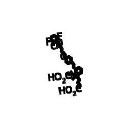 Cc1c(CCCC(=O)O)c2cccc(C=Cc3ccc(OCC=CCOc4c(F)ccc(F)c4Cl)cc3)c2n1CC(=O)O